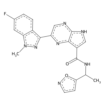 CC(NC(=O)c1c[nH]c2ncc(-c3nn(C)c4cc(F)ccc34)nc12)c1ccno1